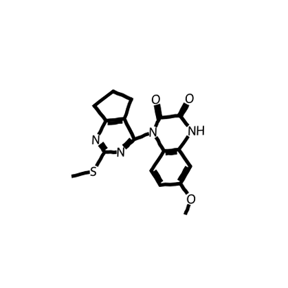 COc1ccc2c(c1)[nH]c(=O)c(=O)n2-c1nc(SC)nc2c1CCC2